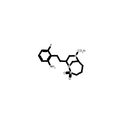 Nc1cccc(F)c1CCC1CN(C(=O)O)C2CCCS(=O)(=O)N1C2